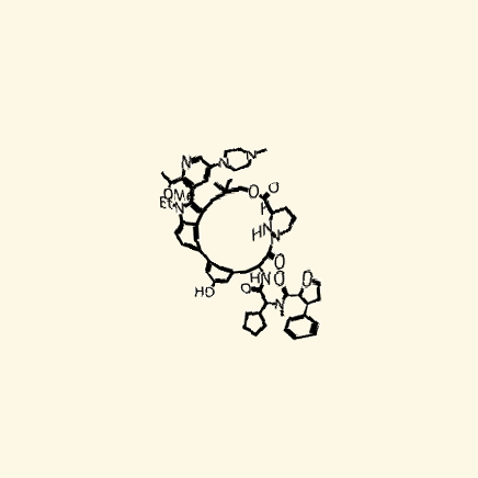 CCn1c(-c2cc(N3CCN(C)CC3)cnc2[C@H](C)OC)c2c3cc(ccc31)-c1cc(O)cc(c1)C[C@H](NC(=O)[C@H](C1CCCC1)N(C)C(=O)[C@H]1OCC[C@H]1c1ccccc1)C(=O)N1CCC[C@H](N1)C(=O)OCC(C)(C)C2